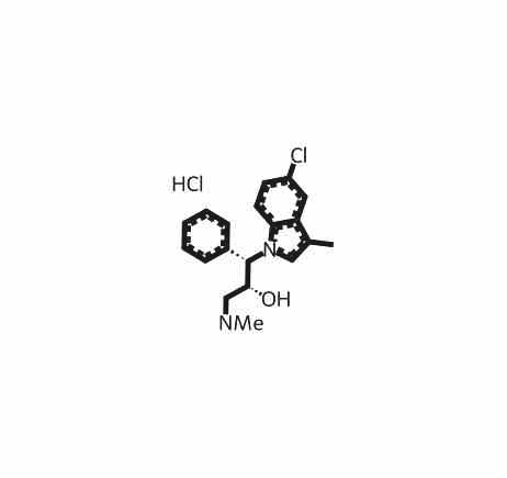 CNC[C@@H](O)[C@H](c1ccccc1)n1cc(C)c2cc(Cl)ccc21.Cl